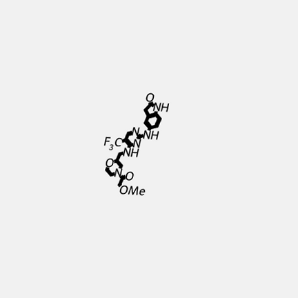 COCC(=O)N1CCOC(CNc2nc(Nc3ccc4c(c3)CC(=O)N4)ncc2C(F)(F)F)C1